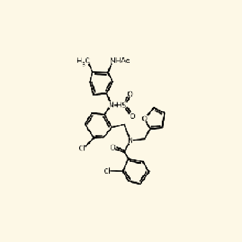 CC(=O)Nc1cc(N(c2ccc(Cl)cc2CN(Cc2ccco2)C(=O)c2ccccc2Cl)[SH](=O)=O)ccc1C